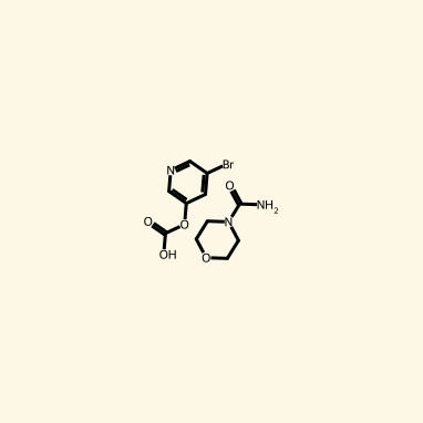 NC(=O)N1CCOCC1.O=C(O)Oc1cncc(Br)c1